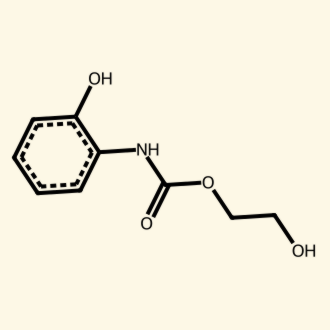 O=C(Nc1ccccc1O)OCCO